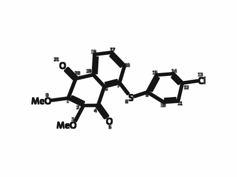 COC1=C(OC)C(=O)c2c(Sc3ccc(Cl)cc3)cccc2C1=O